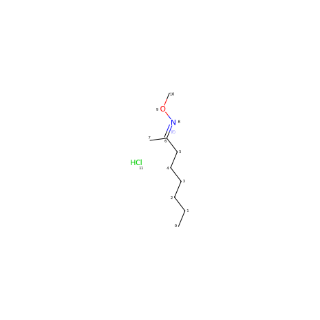 CCCCCC/C(C)=N/OC.Cl